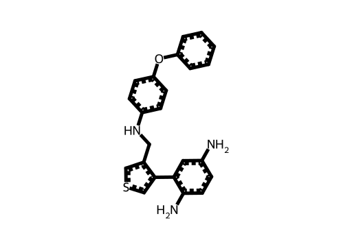 Nc1ccc(N)c(-c2cscc2CNc2ccc(Oc3ccccc3)cc2)c1